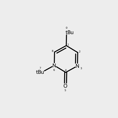 CC(C)(C)c1cnc(=O)n(C(C)(C)C)c1